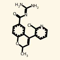 CC1C=C(c2cccnc2Cl)c2cc(C(=O)N=C(N)N)ccc2O1